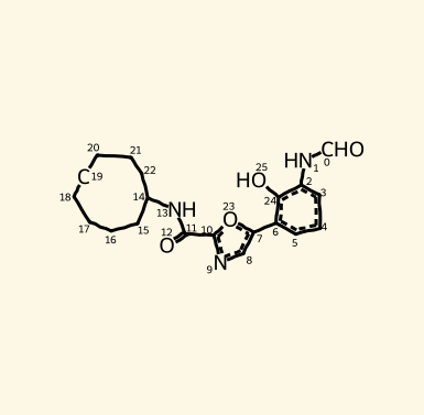 O=CNc1cccc(-c2cnc(C(=O)NC3CCCCCCCC3)o2)c1O